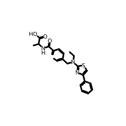 C=C(/C=C\C(=C/C)CN(CC)c1nc(-c2ccccc2)cs1)C(=O)NC(C)C(=O)O